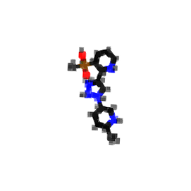 CCS(=O)(=O)c1cccnc1-c1cn(-c2ccc(C(F)(F)F)nc2)nn1